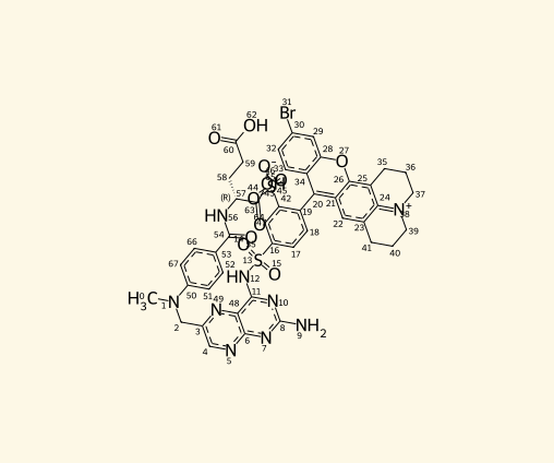 CN(Cc1cnc2nc(N)nc(NS(=O)(=O)c3ccc(C4=c5cc6c7c(c5Oc5cc(Br)ccc54)CCC[N+]=7CCC6)c(S(=O)(=O)[O-])c3)c2n1)c1ccc(C(=O)N[C@H](CCC(=O)O)C(=O)O)cc1